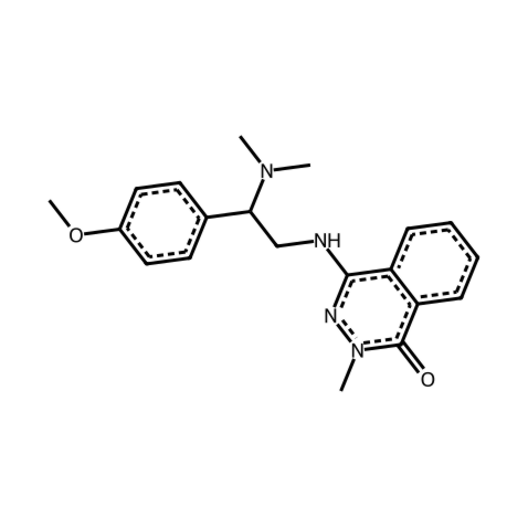 COc1ccc(C(CNc2nn(C)c(=O)c3ccccc23)N(C)C)cc1